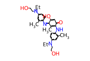 CCN(CCO)c1ccc(/N=C2\C(O)=CC(=O)C(Nc3ccc(N(CC)CCO)cc3C)=C2C)c(C)c1